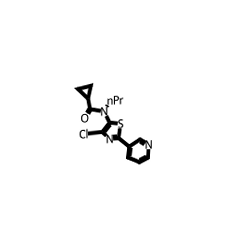 CCCN(C(=O)C1CC1)c1sc(-c2cccnc2)nc1Cl